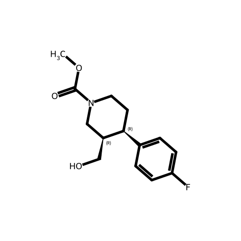 COC(=O)N1CC[C@@H](c2ccc(F)cc2)[C@@H](CO)C1